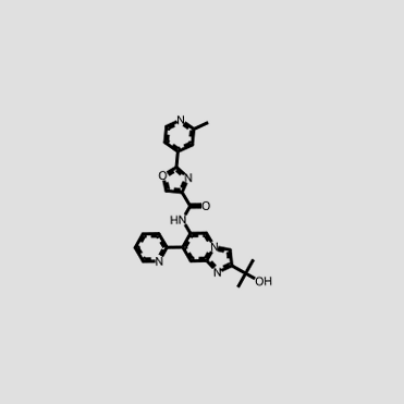 Cc1cc(-c2nc(C(=O)Nc3cn4cc(C(C)(C)O)nc4cc3-c3ccccn3)co2)ccn1